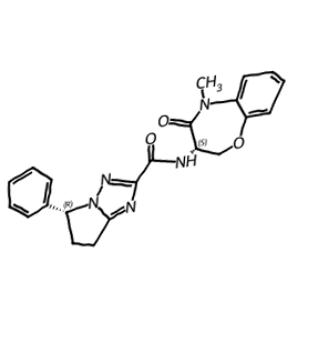 CN1C(=O)[C@@H](NC(=O)c2nc3n(n2)[C@@H](c2ccccc2)CC3)COc2ccccc21